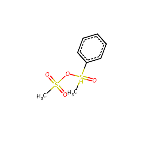 CS(=O)(=O)O[SH](C)(=O)c1ccccc1